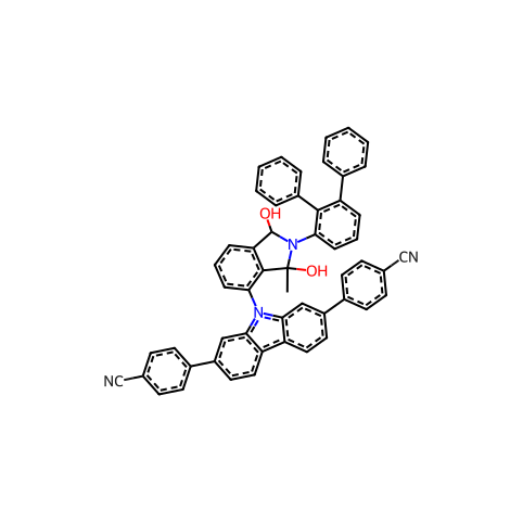 CC1(O)c2c(cccc2-n2c3cc(-c4ccc(C#N)cc4)ccc3c3ccc(-c4ccc(C#N)cc4)cc32)C(O)N1c1cccc(-c2ccccc2)c1-c1ccccc1